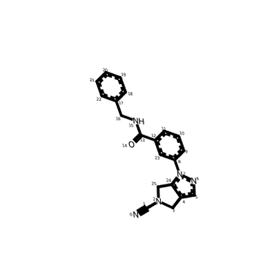 N#CN1Cc2cnn(-c3cccc(C(=O)NCc4ccccc4)c3)c2C1